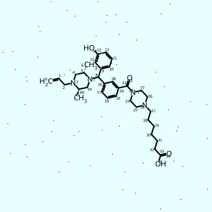 C=CCN1C[C@H](C)N(C(c2cccc(O)c2)c2cccc(C(=O)N3CCN(CCCCCCC(=O)O)CC3)c2)C[C@H]1C